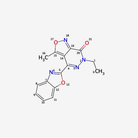 CCn1nc(-c2nc3ccccc3o2)c2c(C)onc2c1=O